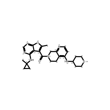 Cc1oc2ncnc(NC3(C)CC3)c2c1C(=O)N1CCc2c(NC3CCOCC3)ccnc2C1